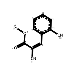 CC(C)OC(=O)C(C#N)=Cc1ccccc1C#N